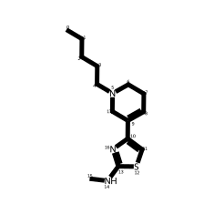 CCCCCN1CCC=C(c2csc(NC)n2)C1